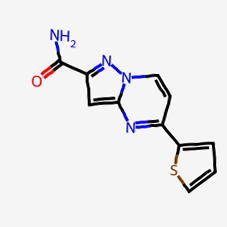 NC(=O)c1cc2nc(-c3cccs3)ccn2n1